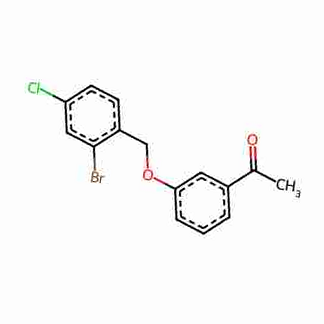 CC(=O)c1cccc(OCc2ccc(Cl)cc2Br)c1